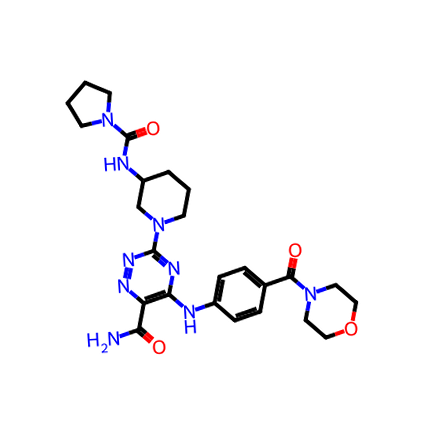 NC(=O)c1nnc(N2CCCC(NC(=O)N3CCCC3)C2)nc1Nc1ccc(C(=O)N2CCOCC2)cc1